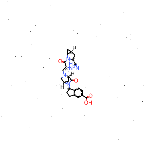 N#C[C@@H]1C[C@@H]2CC2N1C(=O)[C@@H](N)CN1C[C@@H]2C[C@H]1C(=O)N2[C@@H]1CCc2cc(C(=O)O)ccc21